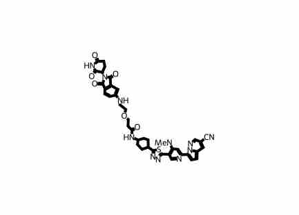 CNc1cc(-c2ccc3cc(C#N)cnn23)ncc1-c1nnc(C2CCC(NC(=O)CCOCCNc3ccc4c(c3)C(=O)N(C3CCC(=O)NC3=O)C4=O)CC2)s1